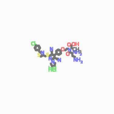 C[C@@H](C(=O)O)N(CCOc1ccc(-c2c(C#N)c(SCc3csc(-c4ccc(Cl)cc4)n3)nc(N3CCCC3)c2C#N)cc1)C(=O)[C@@H](N)CCN.Cl.Cl